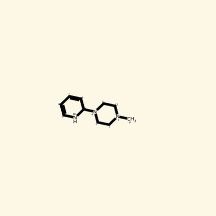 CN1CCN([C]2C=CC=CN2)CC1